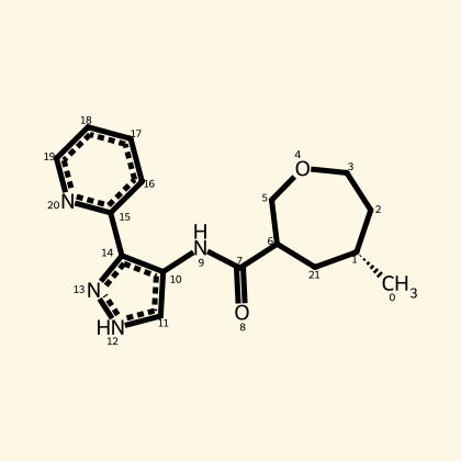 C[C@H]1CCOCC(C(=O)Nc2c[nH]nc2-c2ccccn2)C1